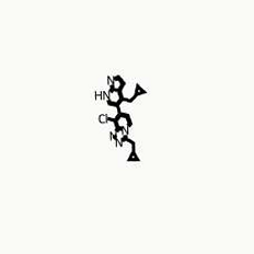 Clc1c(-c2c[nH]c3nccc-3c2CC2CC2)ccn2c(CC3CC3)nnc12